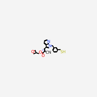 N#C/C(=C\c1cn(Cc2cccc(CS)c2)c2ncccc12)C(=O)OCC1COC1